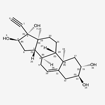 C#C[C@]1(O)[C@H](O)C[C@H]2[C@@H]3CC=C4C[C@H](O)[C@@H](O)C[C@]4(C)[C@H]3CC[C@@]21C